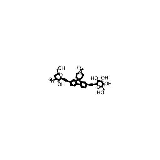 CC(=O)N1CCC2(CC1)c1cc(C#CC3O[C@H](CO)CC(N=O)[C@@H]3O)ccc1-c1ccc(C#CC3O[C@H](CO)[C@@H](O)[C@H](O)[C@@H]3O)cc12